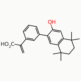 C=C(C(=O)O)c1cccc(-c2cc3c(cc2O)C(C)(C)CCC3(C)C)c1